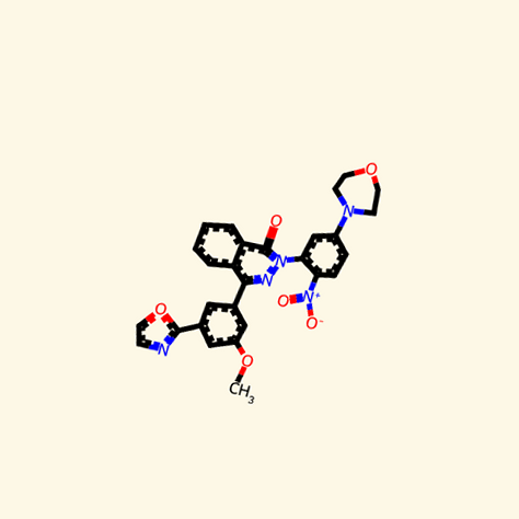 COc1cc(-c2ncco2)cc(-c2nn(-c3cc(N4CCOCC4)ccc3[N+](=O)[O-])c(=O)c3ccccc23)c1